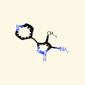 Cc1c(-c2ccncc2)n[nH]c1N